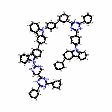 c1ccc(-c2ccc3c(c2)c2ccccc2n3-c2ccc(-c3nc(-c4ccccc4)nc(-c4cccc(-c5ccc(-n6c7ccccc7c7cc(-c8ccc9c(c8)c8ccccc8n9-c8ncc(-c9nc(-c%10ccccc%10)nc(-c%10ccccc%10)n9)cn8)ccc76)cc5)c4)n3)cc2)cc1